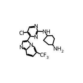 NC1CCC(Nc2ncc(Cl)c(-c3cnc4ccc(C(F)(F)F)cn34)n2)CC1